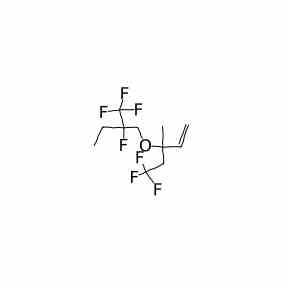 C=CC(C)(CC(F)(F)F)OCC(F)(CC)C(F)(F)F